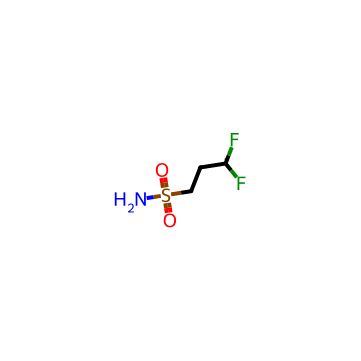 NS(=O)(=O)CC[C](F)F